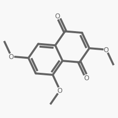 COC1=CC(=O)c2cc(OC)cc(OC)c2C1=O